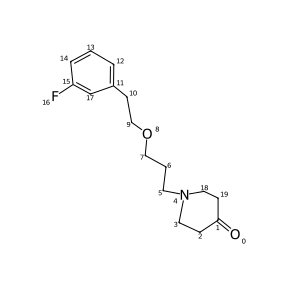 O=C1CCN(CCCOCCc2cccc(F)c2)CC1